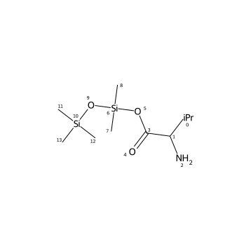 CC(C)C(N)C(=O)O[Si](C)(C)O[Si](C)(C)C